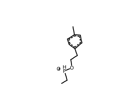 CC[PH](=O)OCCc1ccc(C)cc1